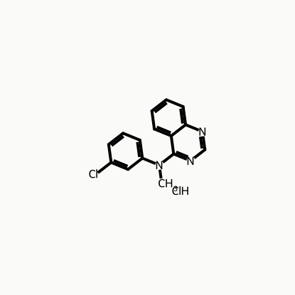 CN(c1cccc(Cl)c1)c1ncnc2ccccc12.Cl